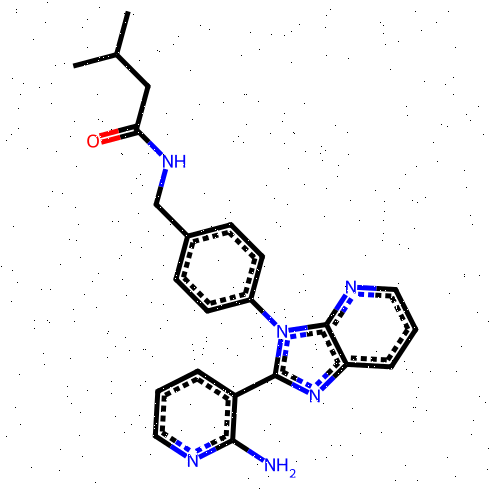 CC(C)CC(=O)NCc1ccc(-n2c(-c3cccnc3N)nc3cccnc32)cc1